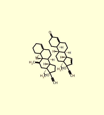 C#C[C@]1(O)C=C[C@H]2[C@@H]3CCC4=CC(=O)CC[C@@H]4[C@H]3CC[C@@]21CC.C#C[C@]1(O)CC[C@H]2[C@@H]3CCC4=CCCC[C@@H]4[C@H]3C(=C)C[C@@]21CC